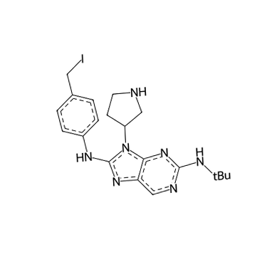 CC(C)(C)Nc1ncc2nc(Nc3ccc(CI)cc3)n(C3CCNC3)c2n1